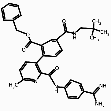 Cc1ccc(-c2ccc(C(=O)NCC(C)(C)C)cc2C(=O)OCc2ccccc2)c(C(=O)Nc2ccc(C(=N)N)cc2)n1